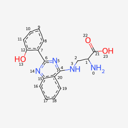 NC(CNc1nc(-c2ccccc2O)nc2ccccc12)C(=O)O